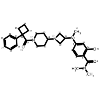 CN(C)C(=O)c1ccc(N(C)C2CN(C3CCN(C(=O)C4(c5ccccc5)CCC4)CC3)C2)cc1Cl